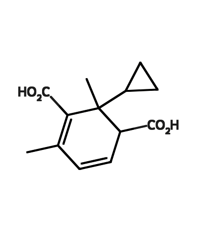 CC1=C(C(=O)O)C(C)(C2CC2)C(C(=O)O)C=C1